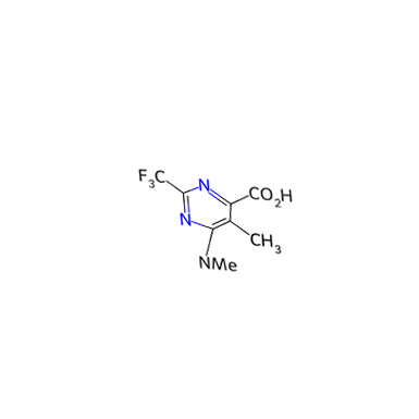 CNc1nc(C(F)(F)F)nc(C(=O)O)c1C